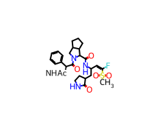 CC(=O)NC(C(=O)N1CC2CCCC2C1C(=O)NC(C=C(F)S(C)(=O)=O)CC1CCNC1=O)c1ccccc1